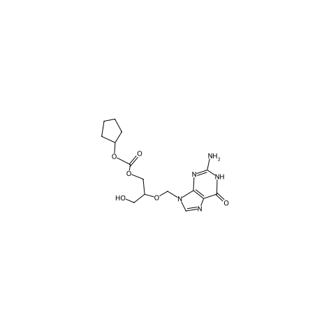 Nc1nc2c(ncn2COC(CO)COC(=O)OC2CCCC2)c(=O)[nH]1